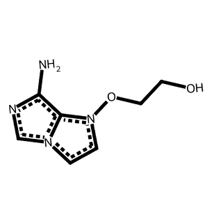 Nc1ncn2ccn(OCCO)c12